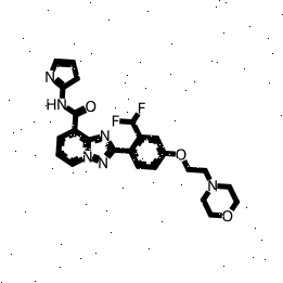 O=C(NC1=NC=CC1)c1cccn2nc(-c3ccc(OCCN4CCOCC4)cc3C(F)F)nc12